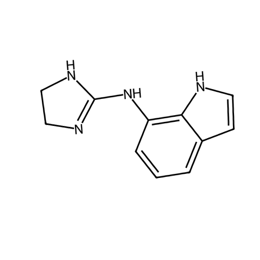 c1cc(NC2=NCCN2)c2[nH]ccc2c1